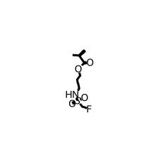 C=C(C)C(=O)OCCCNS(=O)(=O)CF